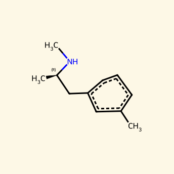 CN[C@H](C)Cc1cccc(C)c1